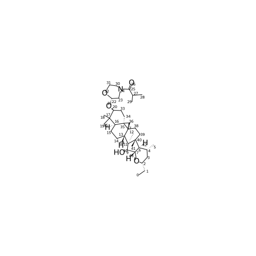 CC[C@H]1C[C@@H](C)[C@H]2[C@H](O1)[C@H](O)[C@@]1(C)[C@@H]3CC[C@H]4C(C)(C)[C@@H](O[C@H]5CN(C(=O)C(C)C)CCO5)CC[C@@]45C[C@@]35CC[C@]21C